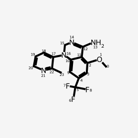 COc1cc(C(F)(F)F)cc2c1C(N)=NCN2c1cccnc1C